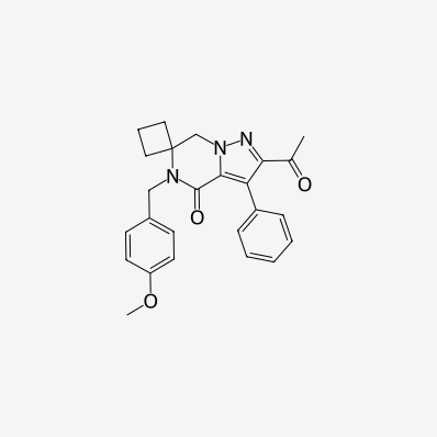 COc1ccc(CN2C(=O)c3c(-c4ccccc4)c(C(C)=O)nn3CC23CCC3)cc1